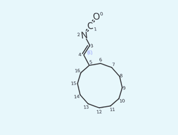 O=C=N/C=C/C1CCCCCCCCCCC1